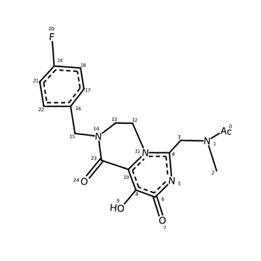 CC(=O)N(C)Cc1nc(=O)c(O)c2n1CCN(Cc1ccc(F)cc1)C2=O